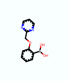 OB(O)c1ccccc1OCc1ncccn1